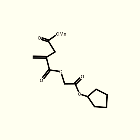 C=C(CC(=O)OC)C(=O)OCC(=O)OC1CCCC1